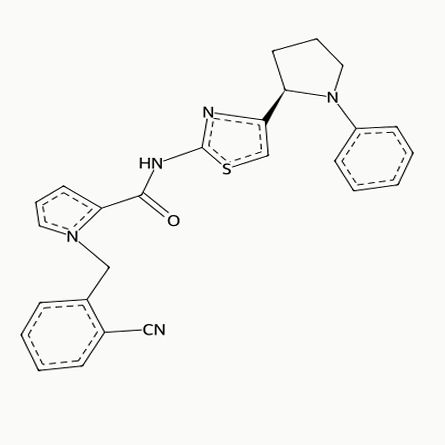 N#Cc1ccccc1Cn1cccc1C(=O)Nc1nc([C@H]2CCCN2c2ccccc2)cs1